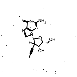 CC#CC1(F)[C@@H](O)[C@@H](CO)O[C@H]1n1cnc2c(=S)[nH]c(N)nc21